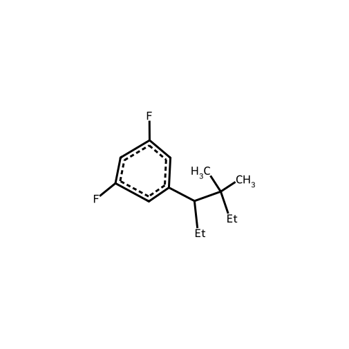 CCC(c1cc(F)cc(F)c1)C(C)(C)CC